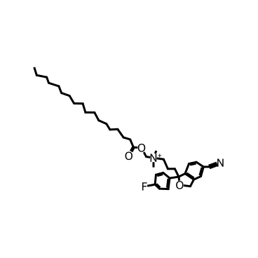 CCCCCCCCCCCCCCCCCC(=O)OC[N+](C)(C)CCCC1(c2ccc(F)cc2)OCc2cc(C#N)ccc21